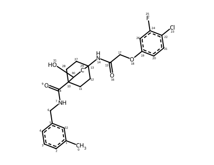 Cc1cccc(CNC(=O)C23CCC(NC(=O)COc4ccc(Cl)c(F)c4)(CC2)CC3O)c1